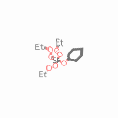 CCOO[Si](OOCC)(OOCC)OC1CCCCC1